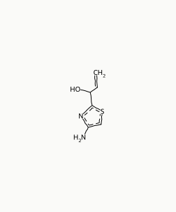 C=CC(O)c1nc(N)cs1